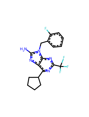 Nc1nc2c(C3CCCC3)nc(C(F)(F)F)nc2n1Cc1ccccc1F